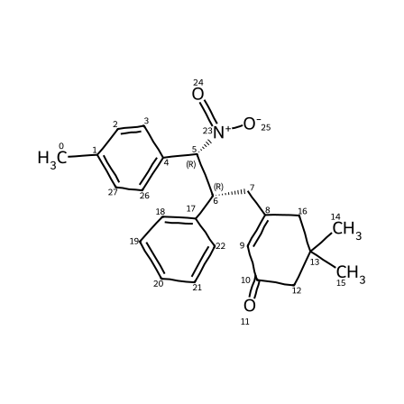 Cc1ccc([C@@H]([C@H](CC2=CC(=O)CC(C)(C)C2)c2ccccc2)[N+](=O)[O-])cc1